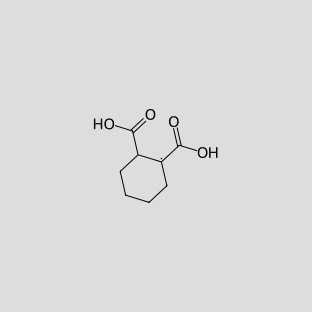 O=C(O)[C]1CCCCC1C(=O)O